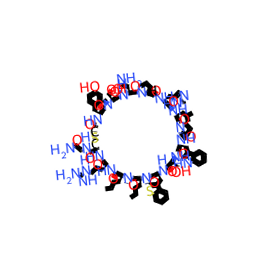 CCCC[C@H]1C(=O)N(C)[C@@H](CCCC)C(=O)N[C@@H](CCCNC(=N)N)C(=O)NC(C(=O)NCC(N)=O)CSCC(=O)N[C@@H](Cc2ccc(O)cc2)C(=O)N(C)[C@@H](CO)C(=O)N[C@@H](CC(N)=O)C(=O)N2CCC[C@H]2C(=O)N[C@@H](Cc2cnc[nH]2)C(=O)N[C@@H](CC(C)C)C(=O)N2CCCC2(C=O)N[C@@H](Cc2c[nH]c3ccccc23)C(=O)N[C@@H](CO)C(=O)N[C@@H](Cc2csc3ccccc23)C(=O)N1C